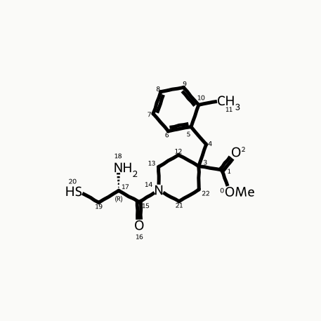 COC(=O)C1(Cc2ccccc2C)CCN(C(=O)[C@@H](N)CS)CC1